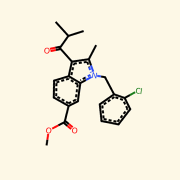 COC(=O)c1ccc2c(C(=O)C(C)C)c(C)n(Cc3ccccc3Cl)c2c1